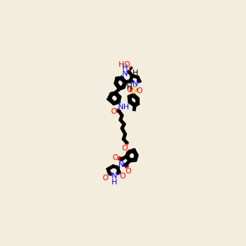 Cc1ccc(S(=O)(=O)N2CC[C@@H]3[C@H](CO)Nc4ccc(-c5cccc(NC(=O)CCCCCCCOc6cccc7c6C(=O)N(C6CCC(=O)NC6=O)C7=O)c5)cc4[C@@H]32)cc1